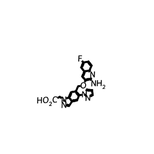 Nc1nc2ccc(F)cc2cc1OCc1cc2c(cnn2CC(=O)O)cc1-n1cccn1